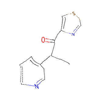 CC(C(=O)c1cscn1)c1cccnc1